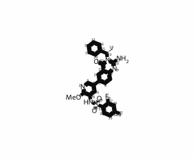 COc1ncc(-c2ccc3nc(N)n([C@@H](C)c4ccccc4)c(=O)c3c2)cc1NS(=O)(=O)c1ccc(F)cc1F